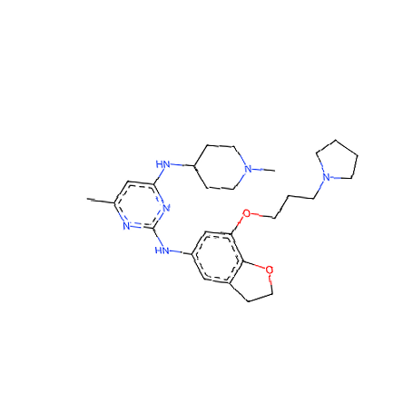 Cc1cc(NC2CCN(C)CC2)nc(Nc2cc3c(c(OCCCN4CCCC4)c2)OCC3)n1